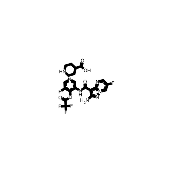 Nc1nn2cc(F)cnc2c1C(=O)Nc1cncc(F)c1OC(=O)C(F)(F)F.O=C(O)C1CCNCC1